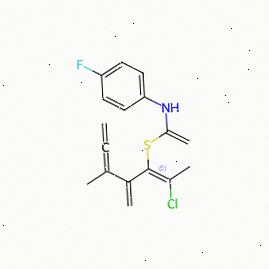 C=C=C(C)C(=C)/C(SC(=C)Nc1ccc(F)cc1)=C(/C)Cl